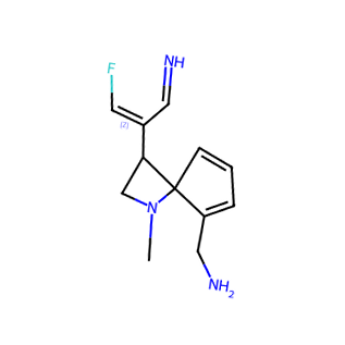 CN1CC(/C(C=N)=C/F)C12C=CC=C2CN